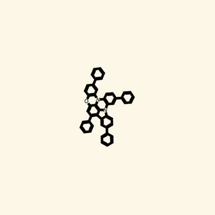 c1ccc(-c2ccc3c(c2)N2c4ccc(-c5ccccc5)cc4-n4c5ccc(-c6ccccc6)cc5c5c(-c6ccccc6)cc(c2c54)O3)cc1